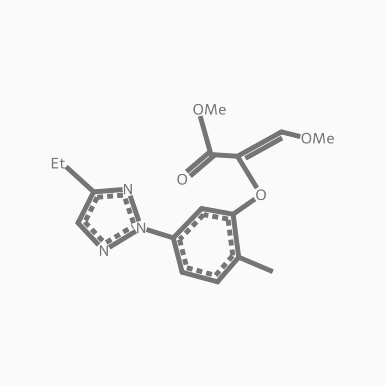 CCc1cnn(-c2ccc(C)c(O/C(=C\OC)C(=O)OC)c2)n1